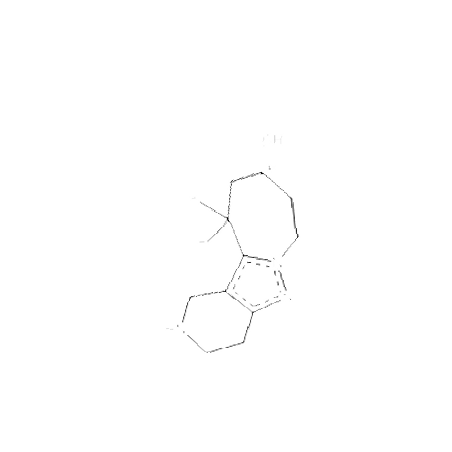 O[C@@H]1CCn2nc3c(c2C(F)(F)C1)CNCC3